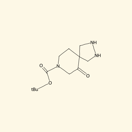 CC(C)(C)OC(=O)N1CCC2(CNNC2)C(=O)C1